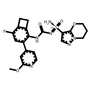 COc1cc(-c2cc(F)c3c(c2NC(=O)N=[S@](N)(=O)c2cnn4c2OCCC4)CC3)ccn1